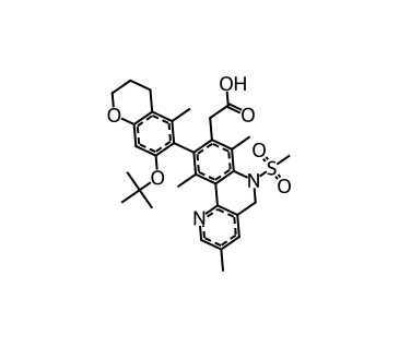 Cc1cnc2c(c1)CN(S(C)(=O)=O)c1c(C)c(CC(=O)O)c(-c3c(OC(C)(C)C)cc4c(c3C)CCCO4)c(C)c1-2